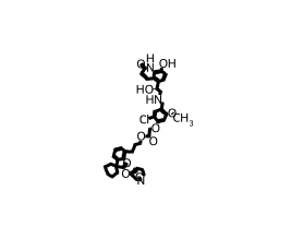 COc1cc(OCC(=O)OCCCc2cccc(C3(C(=O)OC4CN5CCC4CC5)CCCCC3)c2)c(Cl)cc1CNC[C@H](O)c1ccc(O)c2[nH]c(=O)ccc12